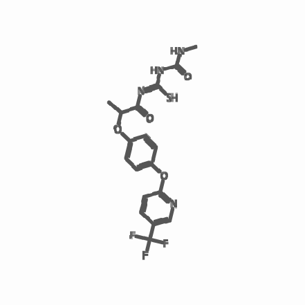 CNC(=O)NC(S)=NC(=O)C(C)Oc1ccc(Oc2ccc(C(F)(F)F)cn2)cc1